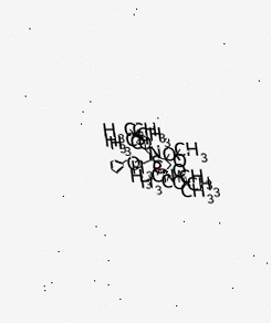 CC(=O)OC(CC(C(C)C)N(C)C(=O)OC(C)(C)C)c1nc(CO[Si](C)(C)C(C)(C)C)c(CCOCc2ccccc2)s1